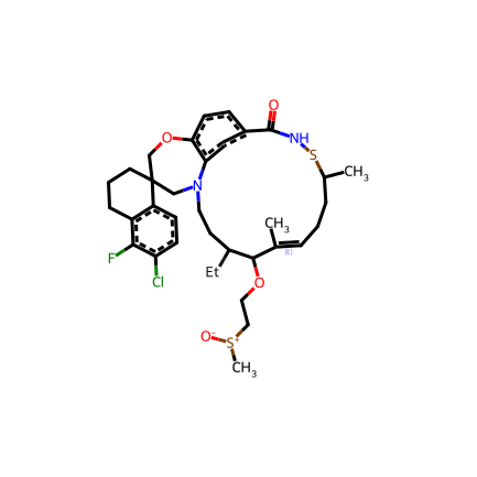 CCC1CCN2CC3(CCCc4c3ccc(Cl)c4F)COc3ccc(cc32)C(=O)NSC(C)CC/C=C(\C)C1OCC[S+](C)[O-]